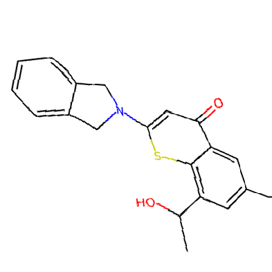 Cc1cc(C(C)O)c2sc(N3Cc4ccccc4C3)cc(=O)c2c1